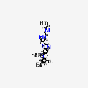 C=C/C(=C\NCCNC(=C)CC(C)(C)C)c1cnc2ccc(N(CCCC)c3cc(CC)cc(CC)c3)cc2n1